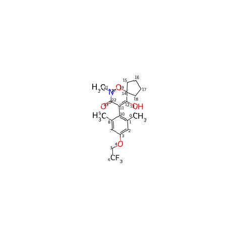 Cc1cc(OCC(F)(F)F)cc(C)c1C1=C(O)C2(CCCC2)ON(C)C1=O